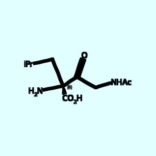 CC(=O)NCC(=O)[C@](N)(CC(C)C)C(=O)O